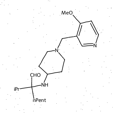 CCCCCC(C=O)(NC1CCN(Cc2cnccc2OC)CC1)C(C)C